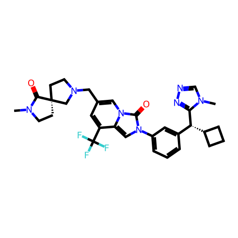 CN1CC[C@@]2(CCN(Cc3cc(C(F)(F)F)c4cn(-c5cccc([C@H](c6nncn6C)C6CCC6)c5)c(=O)n4c3)C2)C1=O